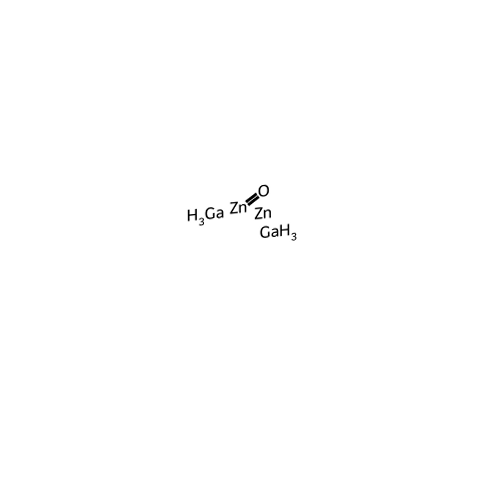 [GaH3].[GaH3].[O]=[Zn].[Zn]